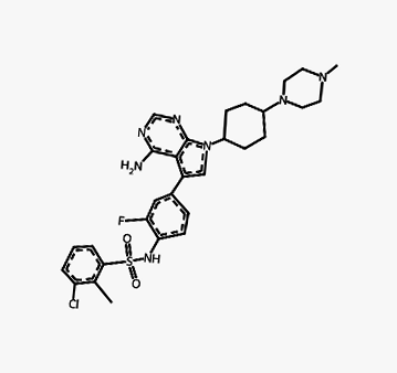 Cc1c(Cl)cccc1S(=O)(=O)Nc1ccc(-c2cn(C3CCC(N4CCN(C)CC4)CC3)c3ncnc(N)c23)cc1F